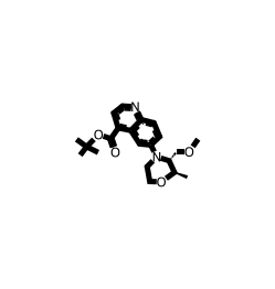 COC[C@@H]1[C@@H](C)OCCN1c1ccc2nccc(C(=O)OC(C)(C)C)c2c1